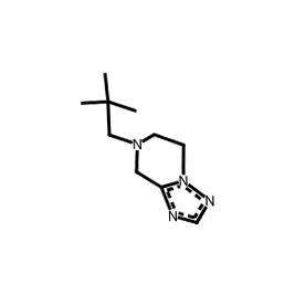 CC(C)(C)CN1CCn2ncnc2C1